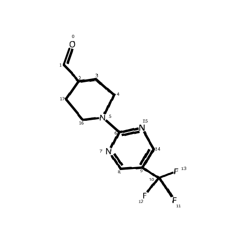 O=CC1CCN(c2ncc(C(F)(F)F)cn2)CC1